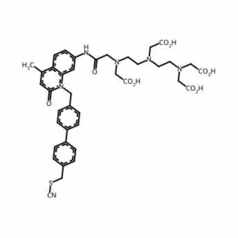 Cc1cc(=O)n(Cc2ccc(-c3ccc(CSC#N)cc3)cc2)c2cc(NC(=O)CN(CCN(CCN(CC(=O)O)CC(=O)O)CC(=O)O)CC(=O)O)ccc12